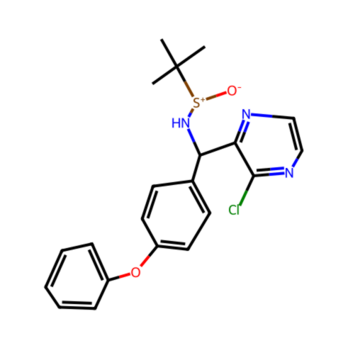 CC(C)(C)[S+]([O-])NC(c1ccc(Oc2ccccc2)cc1)c1nccnc1Cl